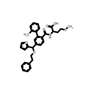 CSCCC(NC(=O)c1ccc(C(OCCc2ccccc2)c2ccco2)cc1-c1ccccc1C)C(=O)O